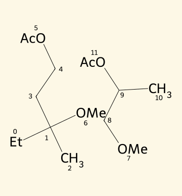 CCC(C)(CCOC(C)=O)OC.COCC(C)OC(C)=O